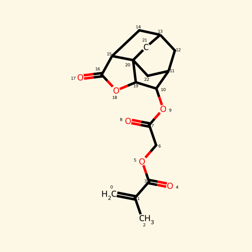 C=C(C)C(=O)OCC(=O)OC1C2CC3CC4C(=O)OC1C4(C3)C2